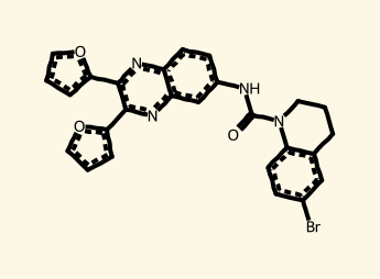 O=C(Nc1ccc2nc(-c3ccco3)c(-c3ccco3)nc2c1)N1CCCc2cc(Br)ccc21